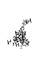 Cc1ncsc1-c1cc2cnc(Nc3ccc(C4CCNCC4)cc3)nc2n(Cc2ccccc2S(C)(=O)=O)c1=O